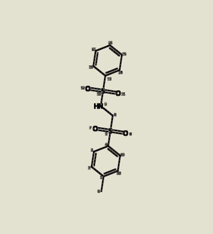 Cc1ccc(S(=O)(=O)CNS(=O)(=O)c2ccccc2)cc1